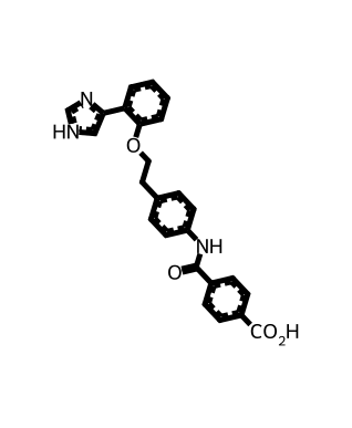 O=C(O)c1ccc(C(=O)Nc2ccc(CCOc3ccccc3-c3c[nH]cn3)cc2)cc1